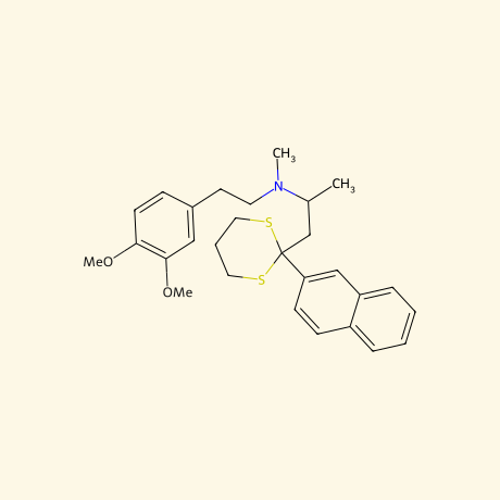 COc1ccc(CCN(C)C(C)CC2(c3ccc4ccccc4c3)SCCCS2)cc1OC